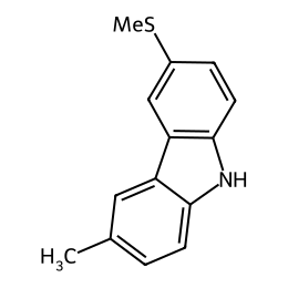 CSc1ccc2[nH]c3ccc(C)cc3c2c1